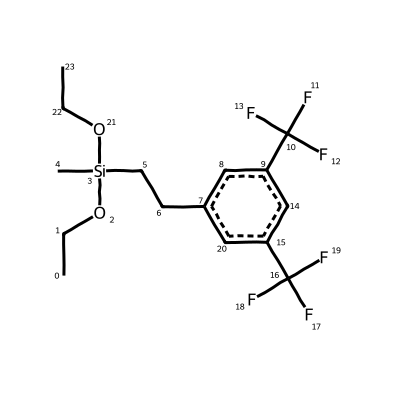 CCO[Si](C)(CCc1cc(C(F)(F)F)cc(C(F)(F)F)c1)OCC